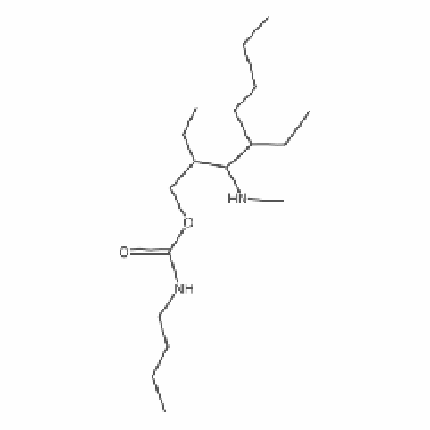 CCCCNC(=O)OCC(CC)C(NC)C(CC)CCCC